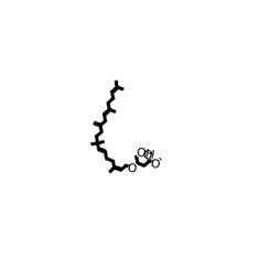 C=C(C/C=C(\C)CCC=C(C)C)CCC(C)(C)/C=C/CC/C(C)=C\COC(CO)CC(=O)OC